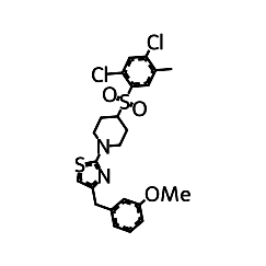 COc1cccc(Cc2csc(N3CCC(S(=O)(=O)c4cc(C)c(Cl)cc4Cl)CC3)n2)c1